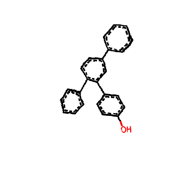 Oc1ccc(-c2cc(-c3ccccc3)ccc2-c2ccccc2)cc1